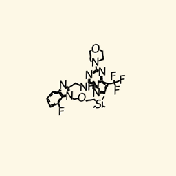 C[Si](C)(C)CCOCn1c(CNc2nc(N3CCOCC3)nc3c(C(F)(F)F)cnn23)nc2cccc(F)c21